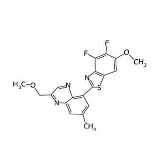 COCc1cnc2c(-c3nc4c(F)c(F)c(OC)cc4s3)cc(C)cc2n1